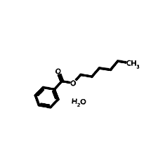 CCCCCCOC(=O)c1ccccc1.O